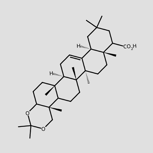 CC1(C)CC(C(=O)O)[C@]2(C)CC[C@]3(C)C(=CC[C@@H]4[C@@]5(C)CCC6OC(C)(C)OC[C@@]6(C)C5CC[C@]43C)[C@H]2C1